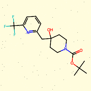 CC(C)(C)OC(=O)N1CCC(O)(Cc2cccc(C(F)(F)F)n2)CC1